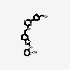 OCc1ccc(-c2cncc(NCc3ccc4nc(NC5CCCC[C@H]5O)sc4c3)n2)cc1